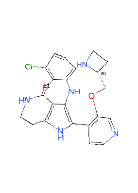 CCc1c(Cl)cccc1Nc1c(-c2ccncc2OC[C@H]2CCN2)[nH]c2c1C(=O)NCC2